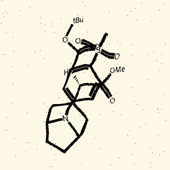 COC(=O)[C@@H](NC(=O)OC(C)(C)C)C1CC2CCC(C1)N2c1ccc(S(C)(=O)=O)cc1